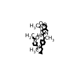 C=CC(=O)N1CC[C@@H](N(C)C(CC2CC2)c2ccc([C@H](C)Nc3ncc4c(n3)N(CC)C(=O)OC4)cc2)C1